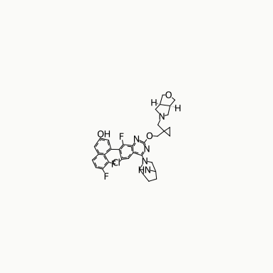 Oc1cc(-c2c(Cl)cc3c(N4CC5CCC(C4)N5)nc(OCC4(CN5C[C@H]6COC[C@H]6C5)CC4)nc3c2F)c2c(F)c(F)ccc2c1